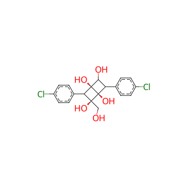 OC[C@]1(O)C(c2ccc(Cl)cc2)[C@]2(O)C(O)C(c3ccc(Cl)cc3)[C@@]21O